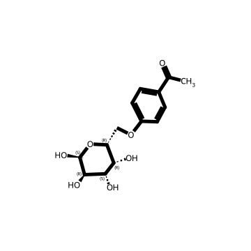 CC(=O)c1ccc(OC[C@H]2O[C@H](O)[C@H](O)[C@@H](O)[C@H]2O)cc1